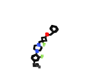 O=[N+]([O-])c1ccc(N2CCN(CC3(F)CC(OCc4ccccc4)C3)CC2)c(F)c1